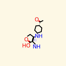 CC/C(N[C@H]1CC[C@H](C(C)=O)CC1)=C(/C=N)C(=O)O